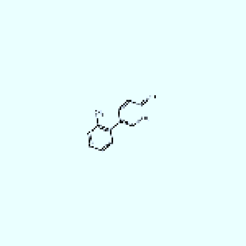 C=N/C=C\C(=C/C)c1ccncc1C